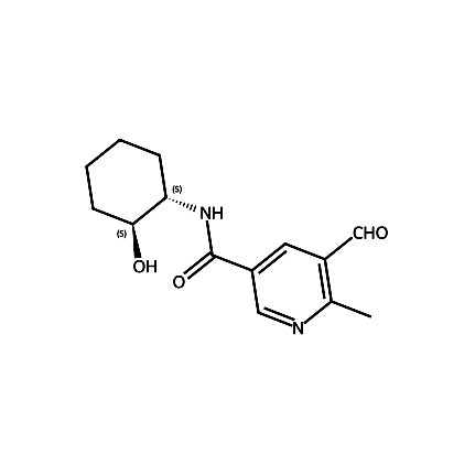 Cc1ncc(C(=O)N[C@H]2CCCC[C@@H]2O)cc1C=O